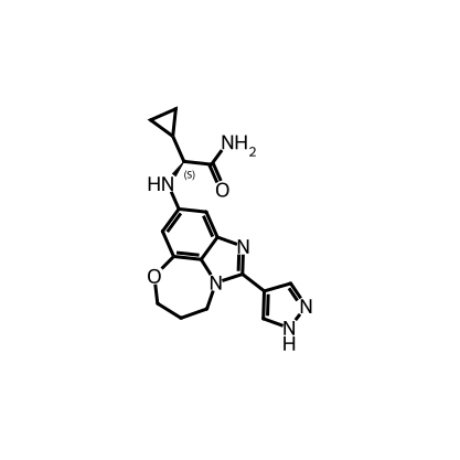 NC(=O)[C@@H](Nc1cc2c3c(c1)nc(-c1cn[nH]c1)n3CCCO2)C1CC1